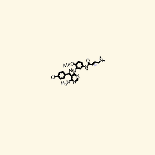 COc1ccc(N(C)C(=O)/C=C/CN(C)C)cc1-n1nc(-c2ccc(Cl)cc2)c2c(N)ncnc21